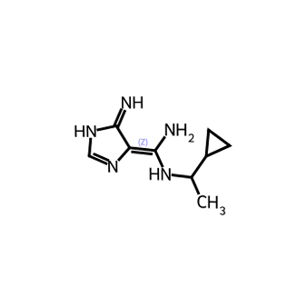 CC(N/C(N)=C1\N=CNC1=N)C1CC1